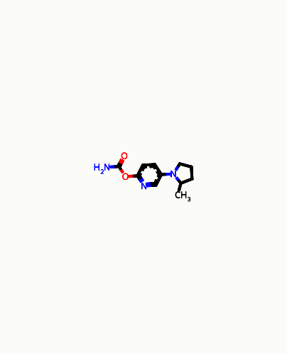 CC1CCCN1c1ccc(OC(N)=O)nc1